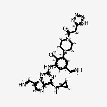 N=Cc1cc(Nc2nc(NC3CC3)c3ncc(C=N)n3n2)c(Cl)c(N2CCN(C(=O)Cc3nnn[nH]3)CC2)c1